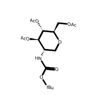 CC(=O)OC[C@H]1OC[C@H](NC(=O)OC(C)(C)C)[C@@H](OC(C)=O)[C@@H]1OC(C)=O